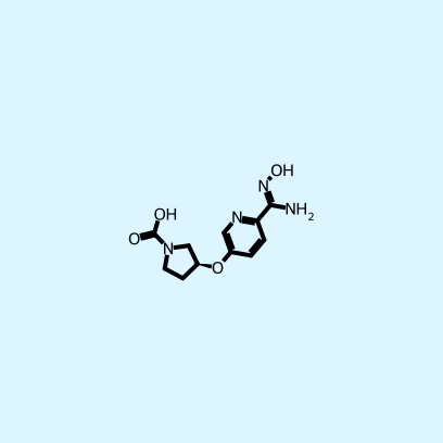 NC(=NO)c1ccc(O[C@H]2CCN(C(=O)O)C2)cn1